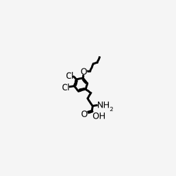 CCCCOc1cc(CCC(N)C(=O)O)cc(Cl)c1Cl